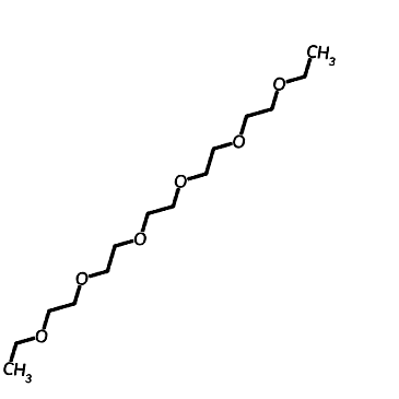 CCOCCOCCOCCOCCOCCOCC